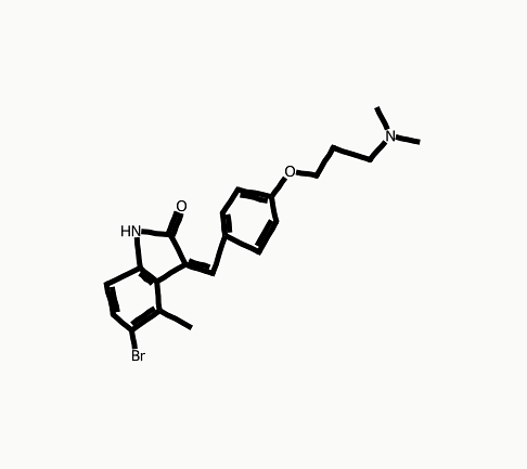 Cc1c(Br)ccc2c1C(=Cc1ccc(OCCCN(C)C)cc1)C(=O)N2